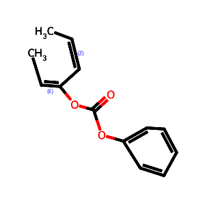 C/C=C\C(=C/C)OC(=O)Oc1ccccc1